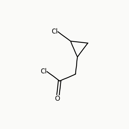 O=C(Cl)CC1CC1Cl